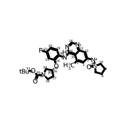 Cc1cc(N=S2(=O)CCCC2)cc2ncnc(Nc3ccc(F)cc3O[C@@H]3CCN(C(=O)OC(C)(C)C)C3)c12